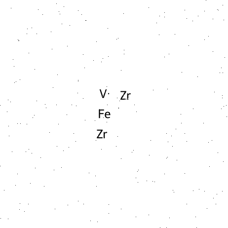 [Fe].[V].[Zr].[Zr]